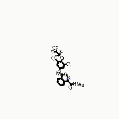 CNC(=O)/C(=N/OC)c1ccccc1COc1cc(Cl)c(OC(F)(F)C(F)C(F)(F)F)c(Cl)c1